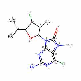 CCCn1c(=O)n(C2OC([C@@H](OC(C)=O)C(F)(F)F)C(F)C2OC(C)=O)c2nc(N)nc(Cl)c21